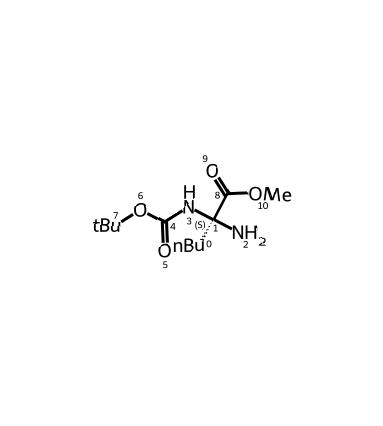 CCCC[C@](N)(NC(=O)OC(C)(C)C)C(=O)OC